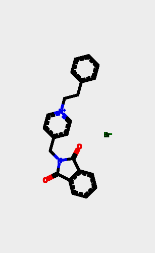 O=C1c2ccccc2C(=O)N1Cc1cc[n+](CCc2ccccc2)cc1.[Br-]